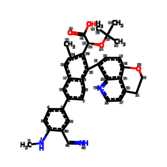 CNc1ccc(-c2ccc3c(-c4ccc5c6c(ccnc46)CCO5)c([C@H](OC(C)(C)C)C(=O)O)c(C)cc3c2)cc1C=N